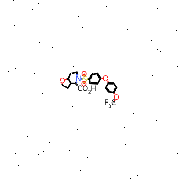 O=C(O)C1C2CCOC2CCN1S(=O)(=O)c1ccc(Oc2ccc(OC(F)(F)F)cc2)cc1